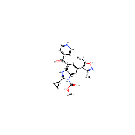 Cc1noc(C)c1-c1cc(C(=O)c2ccncc2)c2nc(C3CC3)n(C(=O)OC(C)(C)C)c2c1